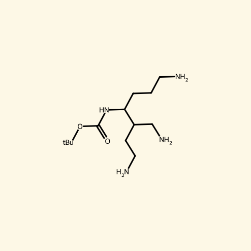 CC(C)(C)OC(=O)NC(CCCN)C(CN)CCN